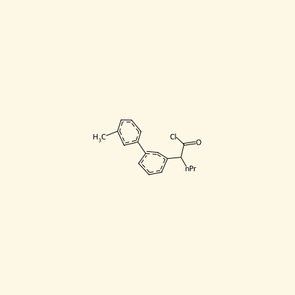 CCCC(C(=O)Cl)c1cccc(-c2cccc(C)c2)c1